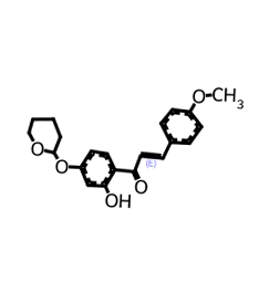 COc1ccc(/C=C/C(=O)c2ccc(OC3CCCCO3)cc2O)cc1